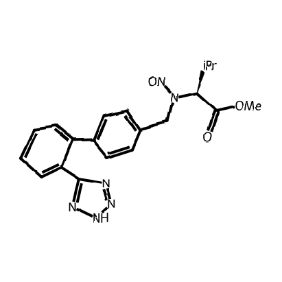 COC(=O)[C@H](C(C)C)N(Cc1ccc(-c2ccccc2-c2nn[nH]n2)cc1)N=O